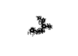 Cc1csc([C@H]2CCCN2C(=O)c2cc(-c3nnc([C@](C)(N)Cc4ccccc4)o3)cc(-c3nccs3)c2)n1